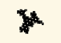 C=C(F)C(=O)N1CCN(c2nc(OC[C@@H]3C[C@@H](F)CN3C)nc3cc(-c4cc(N)ccc4OC(F)(F)F)c4ccoc4c23)C[C@@H]1CC#N